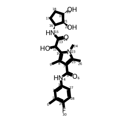 Cc1cc(NC(=O)c2c(C)c(C(O)C(=O)N[C@@H]3CC[C@H](O)[C@H]3O)n(C)c2C)ccc1F